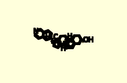 C[C@]12CC[C@H]3[C@@H](CC=C4C[C@H](O)CC[C@@]43C)[C@@H]1CC[C@@H]2c1ccc2cnccc2c1